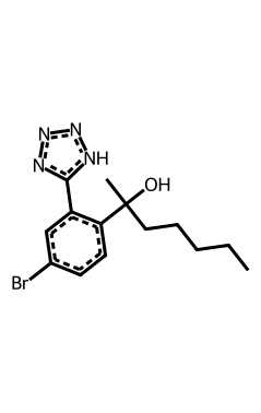 CCCCCC(C)(O)c1ccc(Br)cc1-c1nnn[nH]1